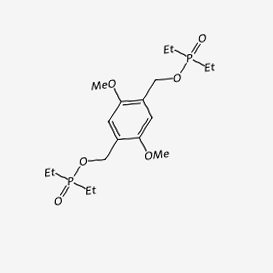 CCP(=O)(CC)OCc1cc(OC)c(COP(=O)(CC)CC)cc1OC